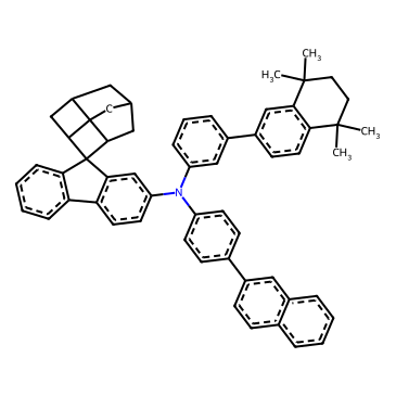 CC1(C)CCC(C)(C)c2cc(-c3cccc(N(c4ccc(-c5ccc6ccccc6c5)cc4)c4ccc5c(c4)C4(c6ccccc6-5)C5CC6CC7CC4C75C6)c3)ccc21